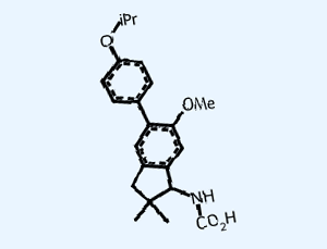 COc1cc2c(cc1-c1ccc(OC(C)C)cc1)CC(C)(C)C2NC(=O)O